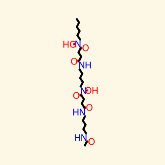 CCCCCCN(O)C(=O)CCC(=O)NCCCCCN(O)C(=O)CCC(=O)NCCCCCNC(C)=O